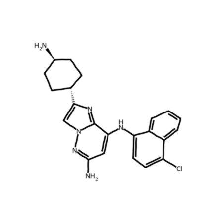 Nc1cc(Nc2ccc(Cl)c3ccccc23)c2nc([C@H]3CC[C@H](N)CC3)cn2n1